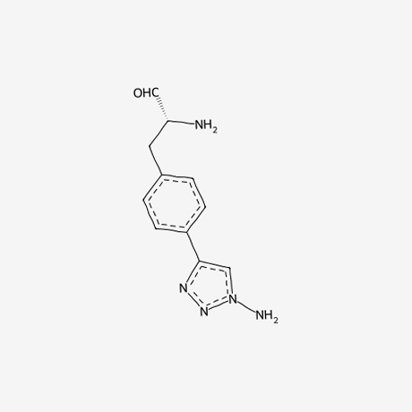 N[C@@H](C=O)Cc1ccc(-c2cn(N)nn2)cc1